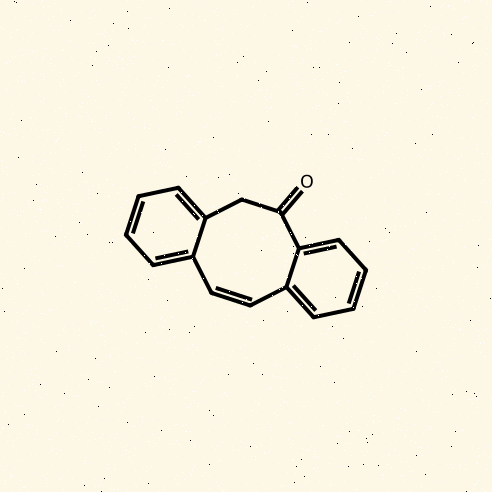 O=C1Cc2ccccc2/C=C\c2ccccc21